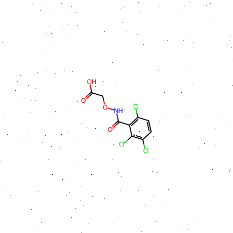 O=C(O)CONC(=O)c1c(Cl)ccc(Cl)c1Cl